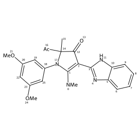 CNC1=C(c2nc3ccccc3[nH]2)C(=O)C(C)(C(C)=O)N1c1cc(OC)cc(OC)c1